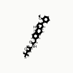 COc1ccccc1C1=CC2=NNC(c3ccc(CC(=O)Nc4cc(C(C)(C)C)on4)cc3)C23C=CC=CC3=C1